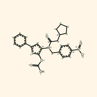 O=C(O)Oc1sc(-c2ccccc2)cc1N(Cc1ccc([N+](=O)[O-])cc1)C(=O)CC1CCCC1